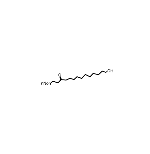 CCCCCCCCCCCC(=O)CCCCCCCCCCCO